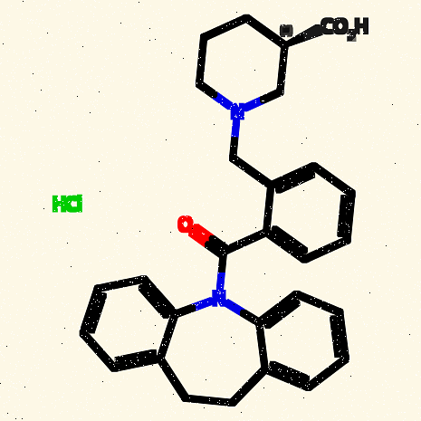 Cl.O=C(O)[C@@H]1CCCN(Cc2ccccc2C(=O)N2c3ccccc3CCc3ccccc32)C1